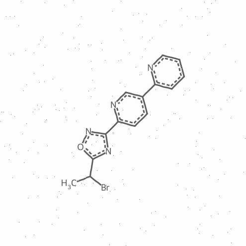 CC(Br)c1nc(-c2ccc(-c3ccccn3)cn2)no1